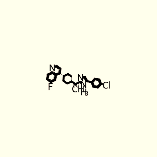 C[C@@H](c1ncc(-c2ccc(Cl)cc2)[nH]1)[C@H]1CC[C@@H](c2ccnc3ccc(F)cc32)CC1